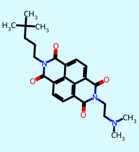 CN(C)CCN1C(=O)c2ccc3c4c(ccc(c24)C1=O)C(=O)N(CCCC(C)(C)C)C3=O